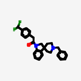 O=C(Cc1ccc(C(F)F)cc1)N1CC2(CCN(Cc3ccccc3)CC2)c2ccccc21